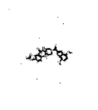 COc1ccc(OC)c2[nH]c(C(=O)N3CCC4(CC3)NC(=O)c3cc(NC(C)=O)ccc3O4)cc12